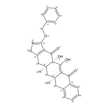 O=C1C2=C(O)[C@]3(O)C(=O)c4c(OCc5ccccc5)noc4C[C@@H]3C[C@@H]2Cc2ccccc21